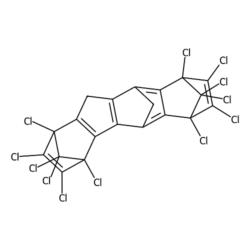 ClC1=C(Cl)C2(Cl)C3=C(CC4=C3C3=C5C(=C4C3)C3(Cl)C(Cl)=C(Cl)C5(Cl)C3(Cl)Cl)C1(Cl)C2(Cl)Cl